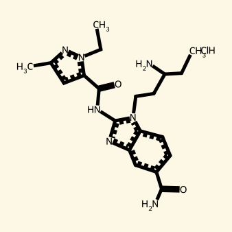 CCC(N)CCn1c(NC(=O)c2cc(C)nn2CC)nc2cc(C(N)=O)ccc21.Cl